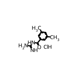 Cc1cc(C)cc(C(=O)NC(=N)N)c1.Cl